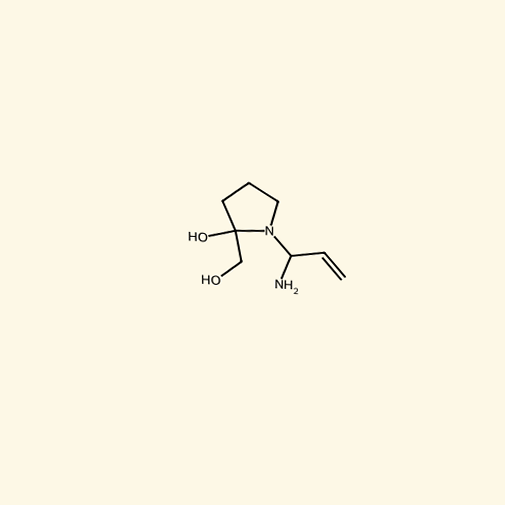 C=CC(N)N1CCCC1(O)CO